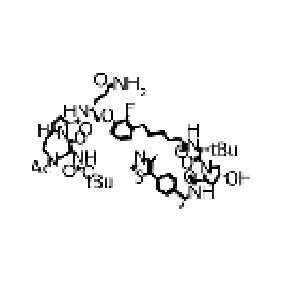 CC(=O)N1CC[C@H]2CC[C@@H](C(=O)N[C@@H](CCC(N)=O)COc3cccc(CCCCCC(=O)N[C@H](C(=O)N4C[C@H](O)C[C@H]4C(=O)N[C@@H](C)c4ccc(-c5scnc5C)cc4)C(C)(C)C)c3F)N2C(=O)[C@@H](NC(=O)OC(C)(C)C)C1